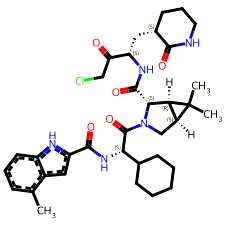 Cc1cccc2[nH]c(C(=O)N[C@H](C(=O)N3C[C@H]4[C@@H]([C@H]3C(=O)N[C@@H](C[C@@H]3CCCNC3=O)C(=O)CCl)C4(C)C)C3CCCCC3)cc12